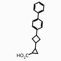 O=C(O)C1CC1C1CC(c2ccc(-c3ccccc3)cc2)C1